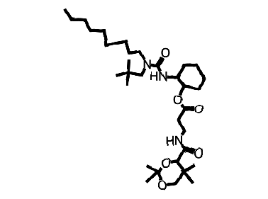 CCCCCCCCCN(CC(C)(C)C)C(=O)NC1CCCCC1OC(=O)CCNC(=O)C1OC(C)(C)OCC1(C)C